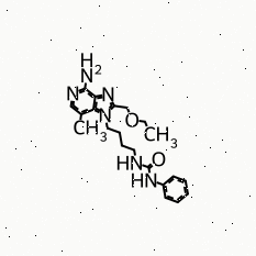 CCOCc1nc2c(N)ncc(C)c2n1CCCCNC(=O)Nc1ccccc1